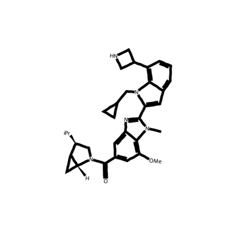 COc1cc(C(=O)N2C[C@H](C(C)C)C3C[C@H]32)cc2nc(-c3cc4cccc(C5CNC5)c4n3CC3CC3)n(C)c12